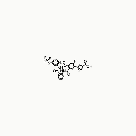 COc1cc(F)c(-c2cc(C(=O)O)cs2)cc1C(=O)NC1C2C=CC(C2)C1C(=O)Nc1cccc(SC(F)(F)F)c1